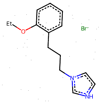 CCOc1ccccc1CCC[n+]1cc[nH]c1.[Br-]